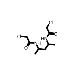 CC(CC(C)NC(=O)CCl)NC(=O)CCl